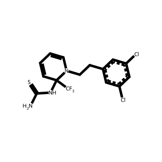 NC(=S)NC1(C(F)(F)F)C=CC=CN1CCc1cc(Cl)cc(Cl)c1